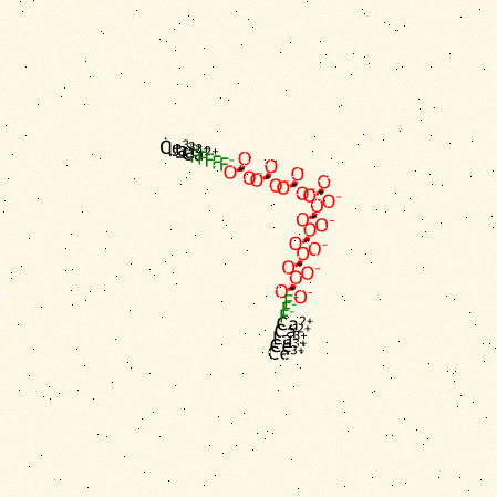 O=C([O-])[O-].O=C([O-])[O-].O=C([O-])[O-].O=C([O-])[O-].O=C([O-])[O-].O=C([O-])[O-].O=C([O-])[O-].O=C([O-])[O-].[Ca+2].[Ca+2].[Ca+2].[Ce+3].[Ce+3].[Ce+3].[F-].[F-].[F-].[F-].[F-].[F-].[F-].[F-].[La+3].[La+3].[La+3]